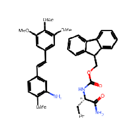 CC(C)C[C@H](NC(=O)OCC1c2ccccc2-c2ccccc21)C(N)=O.COc1ccc(C=Cc2cc(OC)c(OC)c(OC)c2)cc1N